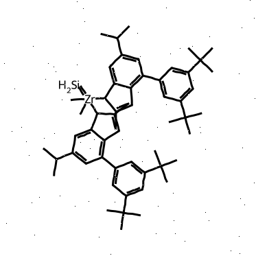 CC1=Cc2c(-c3cc(C(C)(C)C)cc(C(C)(C)C)c3)cc(C(C)C)cc2[CH]1[Zr]([CH3])([CH3])(=[SiH2])[CH]1C(C)=Cc2c(-c3cc(C(C)(C)C)cc(C(C)(C)C)c3)cc(C(C)C)cc21